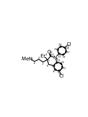 CCC1(CCCNC)Cc2cc(Cl)ccc2N(c2ccc(Cl)cc2)C1=O